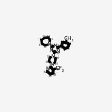 Cc1cccc(-c2nc(N3CCCCCC3)nc(N3CCN(c4ncccc4C(F)(F)F)CC3)n2)c1